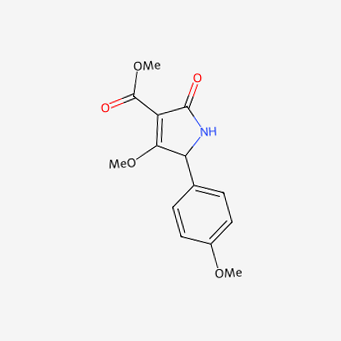 COC(=O)C1=C(OC)C(c2ccc(OC)cc2)NC1=O